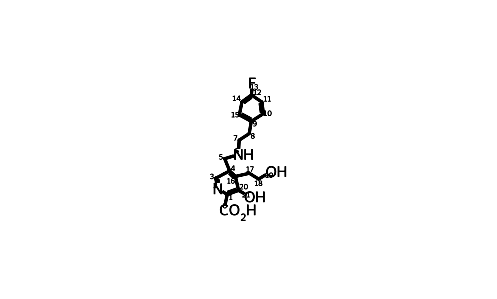 O=C(O)c1ncc(CNCCc2ccc(F)cc2)c(CCO)c1O